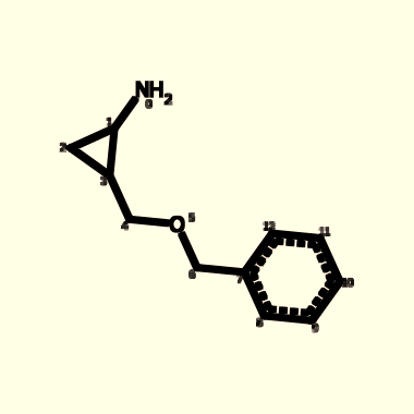 NC1CC1COCc1ccccc1